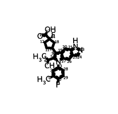 Cc1cc(-n2c(C(C)C)c(C3CC[C@@](F)(C(=O)O)C3)c3cc4[nH]ncc4cc32)ccc1F